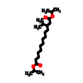 CC(C)OC(=O)CCCCCCCCCCC(CC(=O)OC(C)C)C(C)C